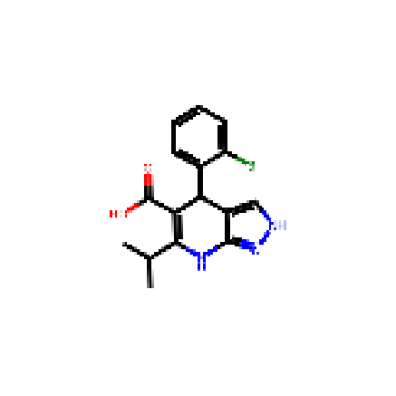 CC(C)C1=C(C(=O)O)C(c2ccccc2Br)c2c[nH]nc2N1